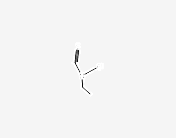 CCN(Cl)[C]=S